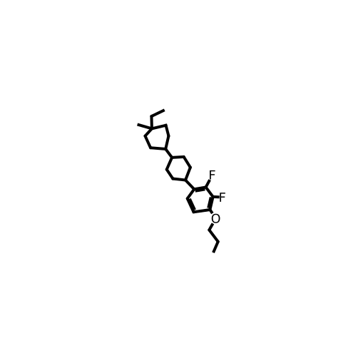 CCCOc1ccc(C2CCC(C3CCC(C)(CC)CC3)CC2)c(F)c1F